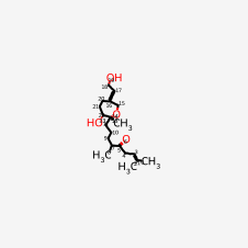 CC(C)=CCC(=O)C(C)CCCC1(C)OC/C(=C/CO)CC[C@@H]1O